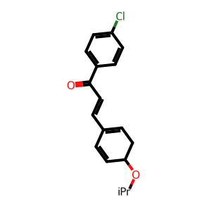 CC(C)OC1C=CC(/C=C/C(=O)c2ccc(Cl)cc2)=CC1